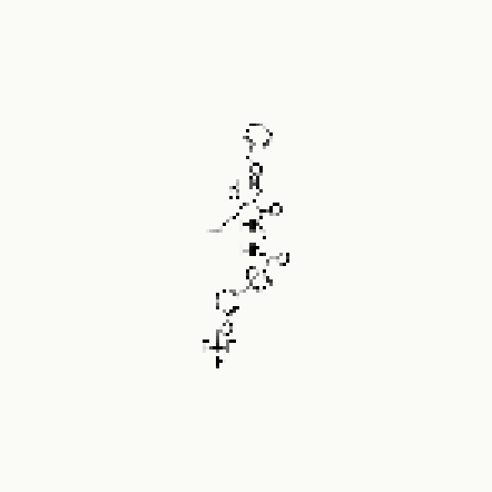 CCCCCC(CN(C=O)OCc1ccccc1)C(=O)NCNC(=O)c1ccc(-c2cccc(OCC(F)(F)F)c2)o1